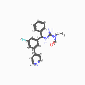 CN(C=O)C(=N)NC(c1ccccc1)c1cc(F)cc(-c2ccncc2)c1